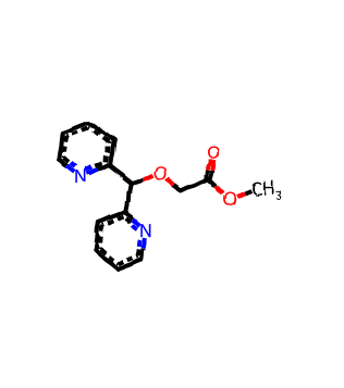 COC(=O)COC(c1ccccn1)c1ccccn1